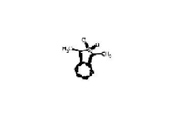 CC1=c2ccccc2=C(C)S1(=O)=O